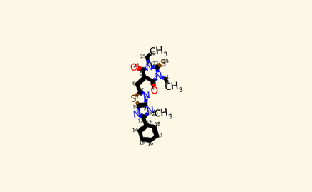 CCN1C(=O)C(=Cc2nc3c(nc(-c4ccccc4)n3C)s2)C(=O)N(CC)C1=S